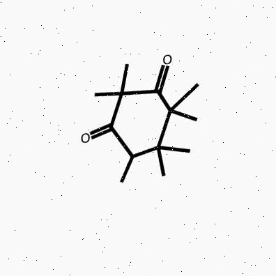 CC1C(=O)C(C)(C)C(=O)C(C)(C)C1(C)C